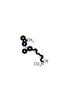 C[C@@H]1c2ccccc2-c2ccc(-n3c4ccccc4c4cc(-c5ccc(/C=C/c6ccc(/C=C(\C#N)C(=O)O)s6)s5)ccc43)cc21